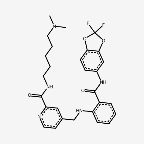 CN(C)CCCCCNC(=O)c1cc(CNc2ccccc2C(=O)Nc2ccc3c(c2)OC(F)(F)O3)ccn1